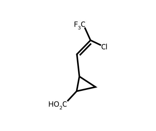 O=C(O)C1CC1C=C(Cl)C(F)(F)F